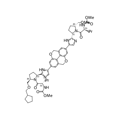 COC[C@H]1CC[C@@H](c2ncc(-c3cc4c5c(c3)OCc3cc(-c6cnc([C@@H]7CC[C@H](COCC8CCCC8)N7C(=O)[C@@H](NC(=O)OC)C(C)C)[nH]6)cc(c3-5)OC4)[nH]2)N1C(=O)[C@@H](NC(=O)OC)C(C)C